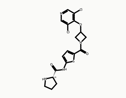 O=C(Nc1ccc(C(=O)N2CC(Oc3c(Cl)cncc3Cl)C2)s1)[C@@H]1CCCN1